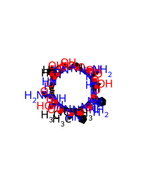 CCCC[C@H]1C(=O)N(C)[C@@H](CCCC)C(=O)N[C@@H](CCC(=O)O)C(=O)N[C@H](C(=O)NCC(N)=O)CSCC(=O)N[C@@H](Cc2ccc(O)cc2)C(=O)N(C)[C@@H](C)C(=O)N[C@@H](CC(=O)O)C(=O)N2CCC[C@H]2C(=O)N[C@@H](CO)C(=O)N[C@@H](CCC(N)=O)C(=O)N2C[C@H](O)C[C@H]2C(=O)N[C@@H](Cc2c[nH]c3ccccc23)C(=O)N[C@@H](CCN)C(=O)N[C@@H](Cc2c[nH]c3ccccc23)C(=O)N1C